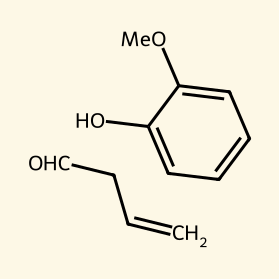 C=CCC=O.COc1ccccc1O